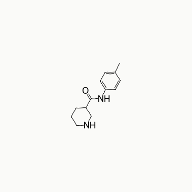 Cc1ccc(NC(=O)C2CCCNC2)cc1